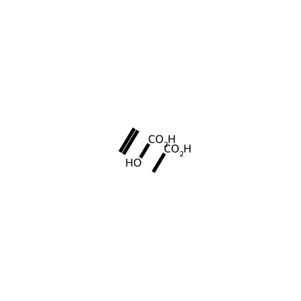 C=C.CC(=O)O.O=C(O)O